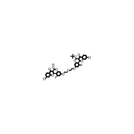 CC(C)(C)OC(=O)c1c(-c2ccc(OCCOCCOc3ccc(-c4oc5cc(Cl)ccc5c(=O)c4C(=O)O)c(F)c3)cc2F)oc2cc(Cl)ccc2c1=O